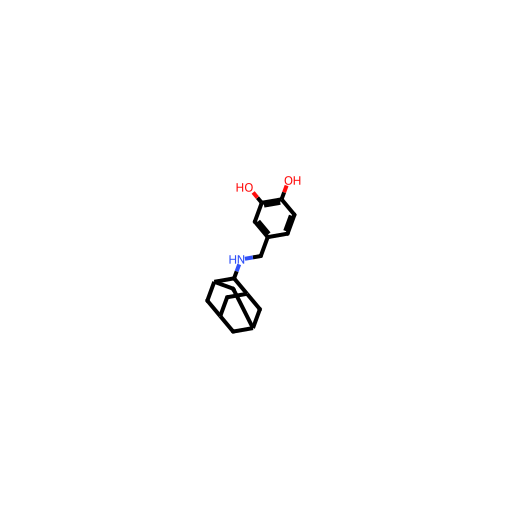 Oc1ccc(CNC2C3CC4CC(C3)CC2C4)cc1O